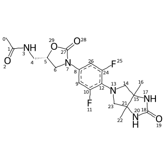 CC(=O)NC[C@H]1CN(c2cc(F)c(N3CC4(C)NC(=O)NC4(C)C3)c(F)c2)C(=O)O1